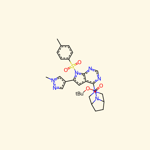 Cc1ccc(S(=O)(=O)n2c(-c3cnn(C)c3)cc3c(N4CC5CCC(C4)N5C(=O)OC(C)(C)C)ncnc32)cc1